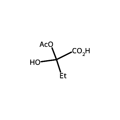 CCC(O)(OC(C)=O)C(=O)O